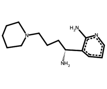 Nc1ncccc1[C@H](N)CCCN1CCCCC1